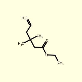 C=CCC(C)(C)CC(=O)OCC